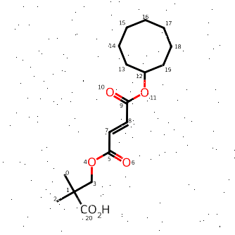 CC(C)(COC(=O)/C=C/C(=O)OC1CCCCCCC1)C(=O)O